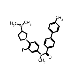 Cc1ccc(-c2ccc(C(=O)N(C)c3ccc(N4CCC(N(C)C)C4)c(F)c3)cc2)cc1